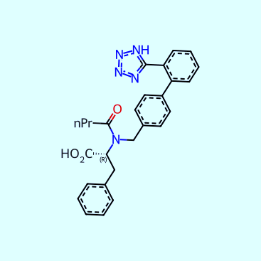 CCCC(=O)N(Cc1ccc(-c2ccccc2-c2nnn[nH]2)cc1)[C@H](Cc1ccccc1)C(=O)O